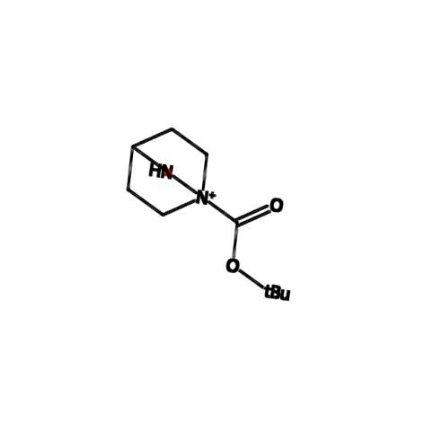 CC(C)(C)OC(=O)[N+]12CCC(CC1)CN2